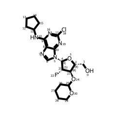 OC[C@H]1O[C@@H](n2cnc3c(NC4CCCC4)nc(Cl)nc32)[C@@H](F)[C@@H]1OC1CCCCO1